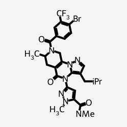 CNC(=O)c1cc(-n2c(=O)c3c(n4ncc(CC(C)C)c24)CN(C(=O)c2ccc(Br)c(C(F)(F)F)c2)C(C)C3)nn1C